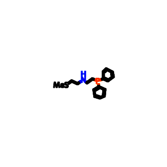 CSCCNCCP(c1ccccc1)c1ccccc1